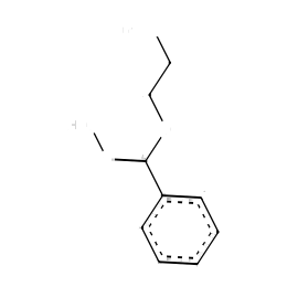 CCCCCCCCCCOC(O[C]=O)c1ccccc1